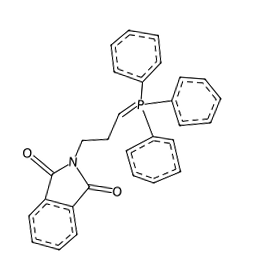 O=C1c2ccccc2C(=O)N1CCC=P(c1ccccc1)(c1ccccc1)c1ccccc1